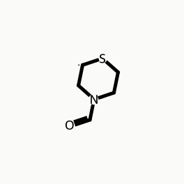 O=CN1C[CH]SCC1